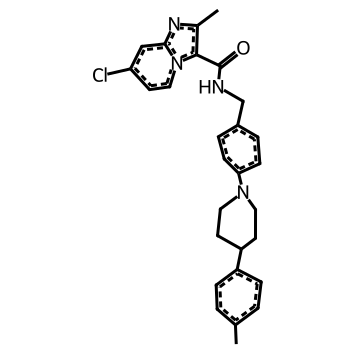 Cc1ccc(C2CCN(c3ccc(CNC(=O)c4c(C)nc5cc(Cl)ccn45)cc3)CC2)cc1